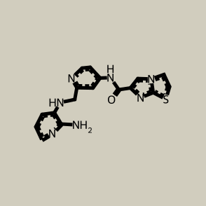 Nc1ncccc1NCc1cc(NC(=O)c2cn3ccsc3n2)ccn1